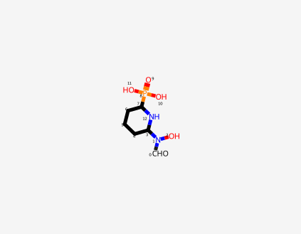 O=CN(O)C1CCCC(P(=O)(O)O)N1